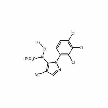 CCOC(=O)N(OCC)c1c(C#N)cnn1-c1ccc(Cl)c(Cl)c1Cl